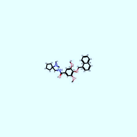 COc1cc(C(=O)NCC2(N(C)C)CCCC2)cc(OC)c1OCc1cccc2ccccc12